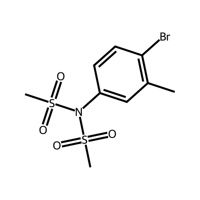 Cc1cc(N(S(C)(=O)=O)S(C)(=O)=O)ccc1Br